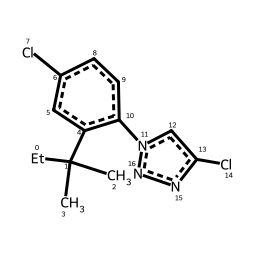 CCC(C)(C)c1cc(Cl)ccc1-n1cc(Cl)nn1